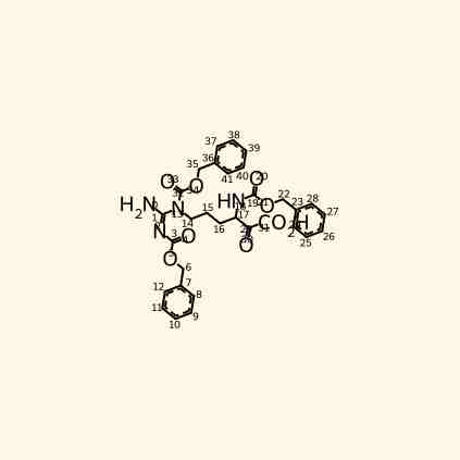 NC(=NC(=O)OCc1ccccc1)N(CCCC(NC(=O)OCc1ccccc1)C(=O)C(=O)O)C(=O)OCc1ccccc1